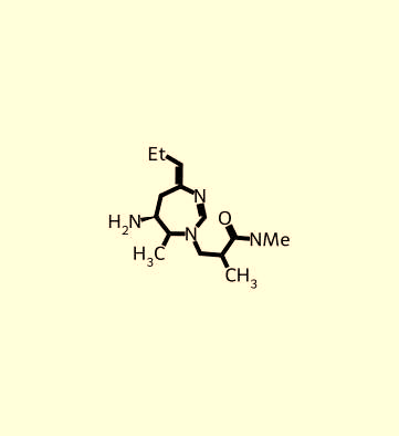 CC/C=C1\C[C@H](N)C(C)N(CC(C)C(=O)NC)C=N1